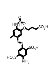 Cc1cc(N[SH](=O)=O)c(OCCCS(=O)(=O)O)cc1N=Nc1cc(S(=O)(=O)O)c(N)cc1S(=O)(=O)O